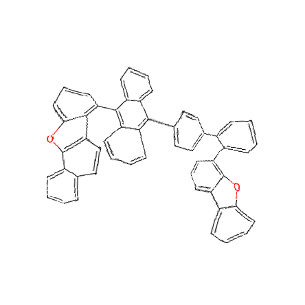 c1ccc(-c2cccc3c2oc2ccccc23)c(-c2ccc(-c3c4ccccc4c(-c4cccc5oc6c7ccccc7ccc6c45)c4ccccc34)cc2)c1